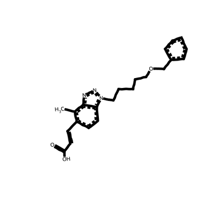 Cc1c(/C=C/C(=O)O)ccc2c1nnn2CCCCCOCc1ccccc1